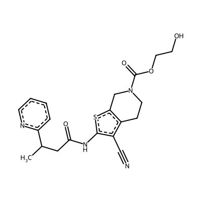 CC(CC(=O)Nc1sc2c(c1C#N)CCN(C(=O)OCCO)C2)c1ccccn1